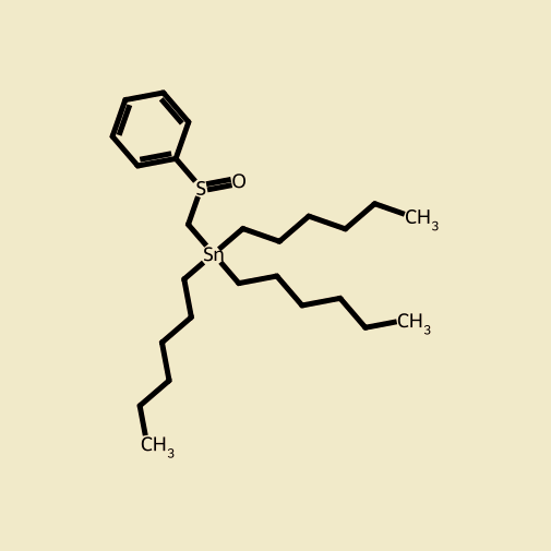 CCCCC[CH2][Sn]([CH2]CCCCC)([CH2]CCCCC)[CH2]S(=O)c1ccccc1